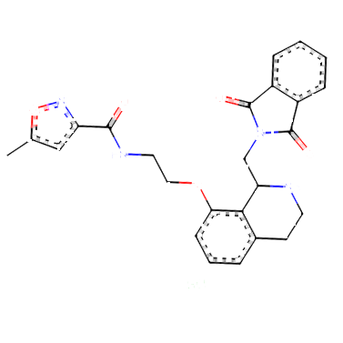 Cc1cc(C(=O)NCCOc2cccc3c2C(CN2C(=O)c4ccccc4C2=O)NCC3)no1.Cl